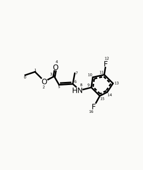 CCOC(=O)/C=C(\C)Nc1cc(F)ccc1F